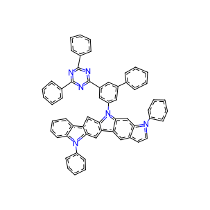 c1ccc(-c2cc(-c3nc(-c4ccccc4)nc(-c4ccccc4)n3)cc(-n3c4cc5c6ccccc6n(-c6ccccc6)c5cc4c4cc5ccn(-c6ccccc6)c5cc43)c2)cc1